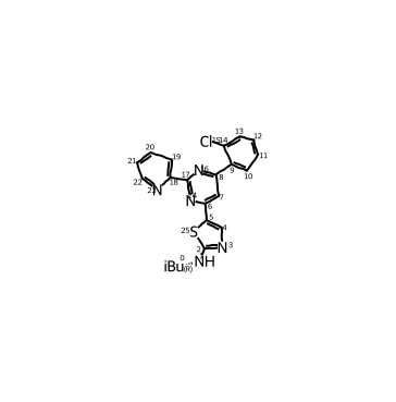 CC[C@@H](C)Nc1ncc(-c2cc(-c3ccccc3Cl)nc(-c3ccccn3)n2)s1